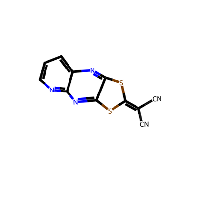 N#CC(C#N)=C1Sc2nc3cccnc3nc2S1